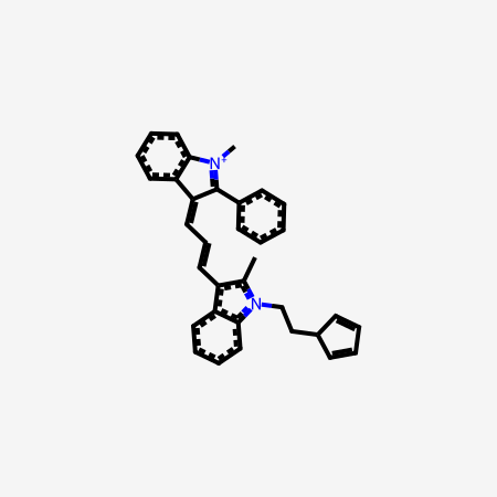 Cc1c(/C=C/C=C2\C(c3ccccc3)=[N+](C)c3ccccc32)c2ccccc2n1CCC1C=CC=C1